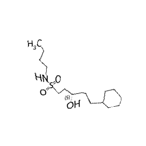 CCCCNS(=O)(=O)CC[C@@H](O)CCC1CCCCC1